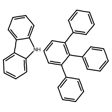 c1ccc(-c2cccc(-c3ccccc3)c2-c2ccccc2)cc1.c1ccc2c(c1)[nH]c1ccccc12